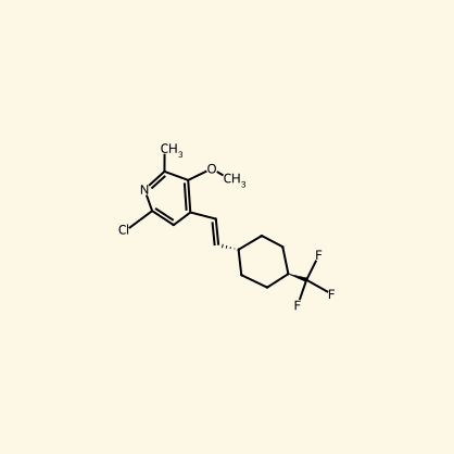 COc1c(/C=C/[C@H]2CC[C@H](C(F)(F)F)CC2)cc(Cl)nc1C